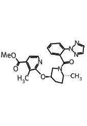 COC(=O)c1ccnc(O[C@@H]2CC[C@@H](C)N(C(=O)c3ccccc3-n3nccn3)C2)c1C